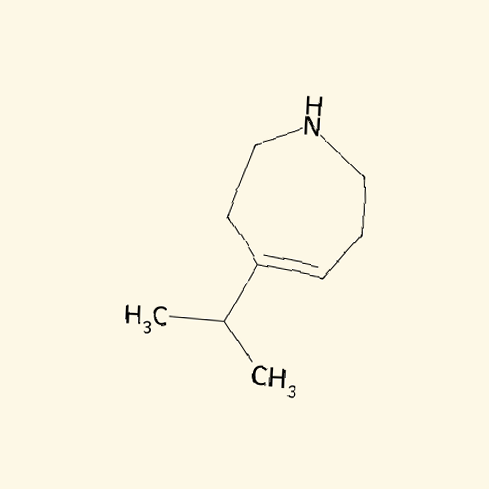 CC(C)C1=CCCNCC1